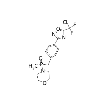 CP(=O)(Cc1ccc(-c2noc(C(F)(F)Cl)n2)cc1)N1CCOCC1